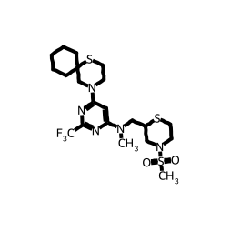 CN(CC1CN(S(C)(=O)=O)CCS1)c1cc(N2CCSC3(CCCCC3)C2)nc(C(F)(F)F)n1